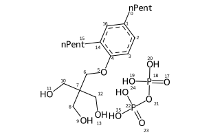 CCCCCc1ccc(OCC(CO)(CO)CO)c(CCCCC)c1.O=P(O)(O)OP(=O)(O)O